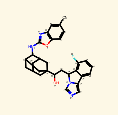 N#Cc1ccc2oc(NC3C4CC5CC3CC(C(O)CC3c6c(F)cccc6-c6cncn63)(C5)C4)nc2c1